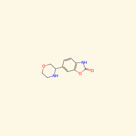 O=c1[nH]c2ccc(C3COCCN3)cc2o1